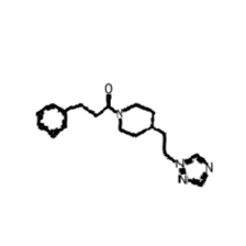 O=C(CCc1ccccc1)N1CCC(CCn2cncn2)CC1